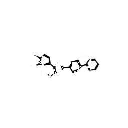 CC(C)Cc1sc(-c2ccc(-c3ccccc3)c(C(=O)O)c2)nc1-c1ccc(Cl)c(Cl)c1